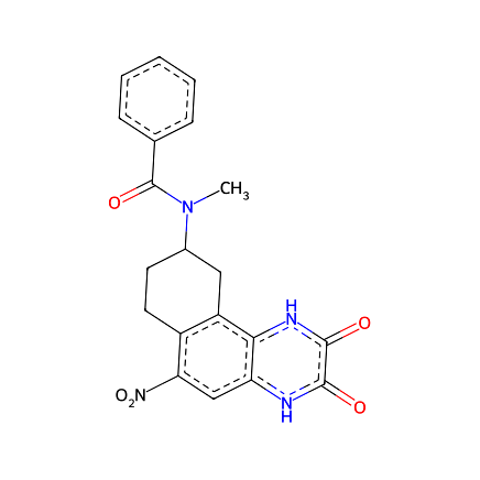 CN(C(=O)c1ccccc1)C1CCc2c([N+](=O)[O-])cc3[nH]c(=O)c(=O)[nH]c3c2C1